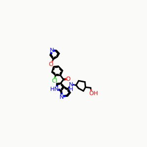 O=C(c1ccc(Oc2cccnc2)cc1Cl)c1c[nH]c2nccc(NC3CCC(CO)CC3)c12